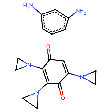 Nc1cccc(N)c1.O=C1C=C(N2CC2)C(=O)C(N2CC2)=C1N1CC1